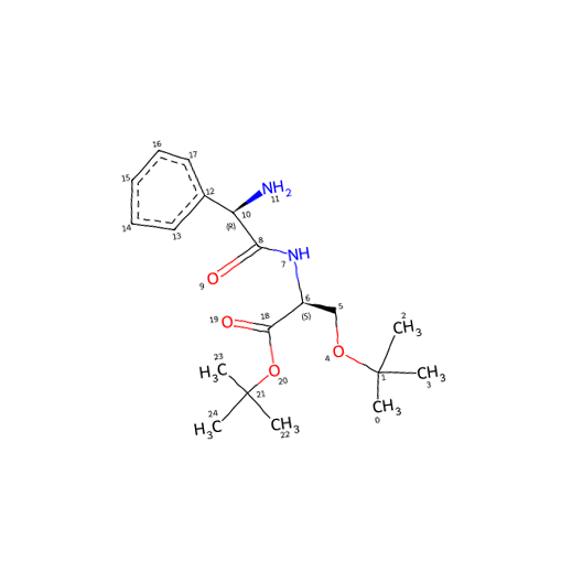 CC(C)(C)OC[C@H](NC(=O)[C@H](N)c1ccccc1)C(=O)OC(C)(C)C